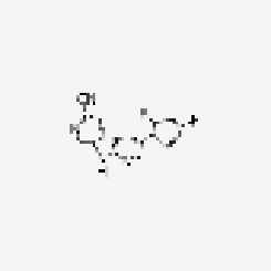 N#Cc1cc2c(cn1)[nH]c1ncc(-c3ccc(F)cc3F)cc12